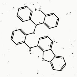 Cc1ccccc1N(Sc1ccccc1Nc1cccc2c1oc1ccccc12)c1ccccc1